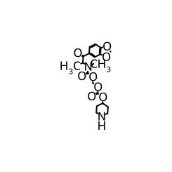 CC(C(=O)c1ccc2c(c1)OCO2)N(C)C(=O)OCOC(=O)OC1CCNCC1